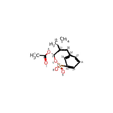 C.CC(=O)O[C@H]1OS(=O)(=O)c2cccc(c2)CC1C